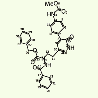 COC(=O)Nc1ccc(-c2cc(CCN(NC(=O)c3ccccc3)C(=O)OCc3ccccc3)n[nH]c2=O)cc1